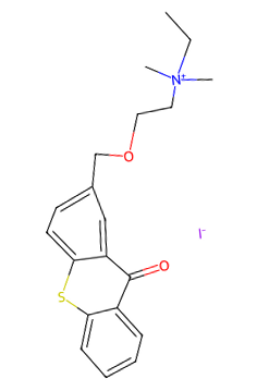 CC[N+](C)(C)CCOCc1ccc2sc3ccccc3c(=O)c2c1.[I-]